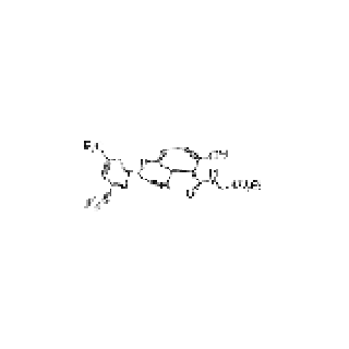 CCOC(=O)CNC(=O)c1c(O)ccc2nc(-c3cc(C(F)(F)F)cc(C(F)(F)F)c3)cnc12